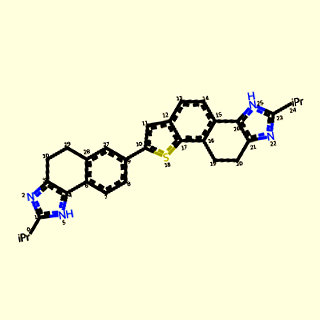 CC(C)c1nc2c([nH]1)-c1ccc(-c3cc4ccc5c(c4s3)CCc3nc(C(C)C)[nH]c3-5)cc1CC2